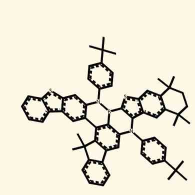 CC(C)(C)c1ccc(N2B3c4sc5cc6c(cc5c4N(c4ccc(C(C)(C)C)cc4)c4cc5c(c(c43)-c3cc4c(cc32)sc2ccccc24)C(C)(C)c2ccccc2-5)C(C)(C)CCC6(C)C)cc1